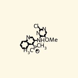 COc1cnc(Cl)nc1Nc1cnc2ccccc2c1P(C)(C)=O